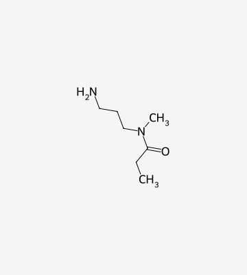 CCC(=O)N(C)CCCN